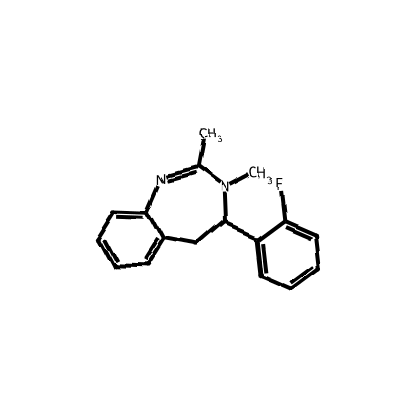 CC1=Nc2ccccc2CC(c2ccccc2F)N1C